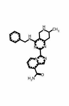 CC1Cc2nc(-c3ncc4c(C(N)=O)cccn34)nc(NCc3ccccc3)c2CN1